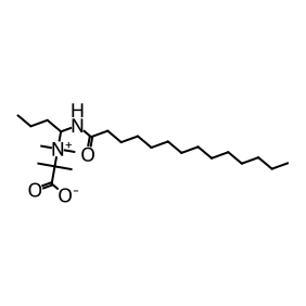 CCCCCCCCCCCCCC(=O)NC(CCC)[N+](C)(C)C(C)(C)C(=O)[O-]